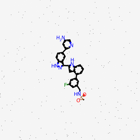 CS(=O)(=O)NCc1cc(F)cc(-c2cccc3[nH]c(-c4n[nH]c5ccc(-c6cncc(N)c6)cc45)cc23)c1